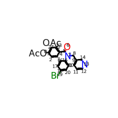 CC(=O)Oc1ccc(C(=O)N(Cc2cccnc2)c2ccc(Br)cc2)c(OC(C)=O)c1